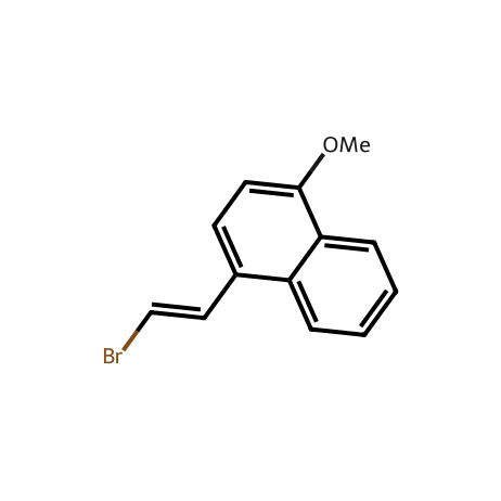 COc1ccc(C=CBr)c2ccccc12